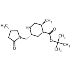 C[C@H]1CC(=O)N(C[C@H]2CN(C(=O)OC(C)(C)C)[C@H](C)CN2)C1